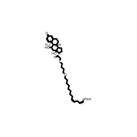 CCCCC/C=C\C/C=C\CCCCCCCCOCCCCSCC(=O)[C@H]1CCC2[C@@H]3CCC4=CC(=O)C=C[C@]4(C)C3C(O)CC21O